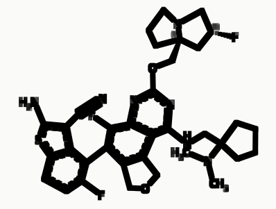 CN(C)C1(CNc2nc(OC[C@@]34CCCN3C[C@H](F)C4)nc3c(F)c(-c4c(F)ccc5sc(N)c(C#N)c45)c4c(c23)COC4)CCCC1